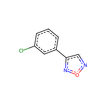 Clc1cccc(-c2[c]non2)c1